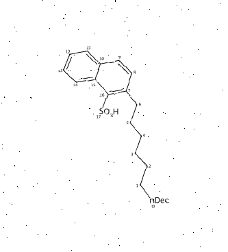 CCCCCCCCCCCCCCCCc1ccc2ccccc2c1S(=O)(=O)O